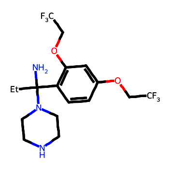 CCC(N)(c1ccc(OCC(F)(F)F)cc1OCC(F)(F)F)N1CCNCC1